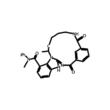 CC(C)N(C)C(=O)c1cccc2c1N1/C(=N/C(=O)c3cccc(c3)C(=O)NCCCCC1C)N2